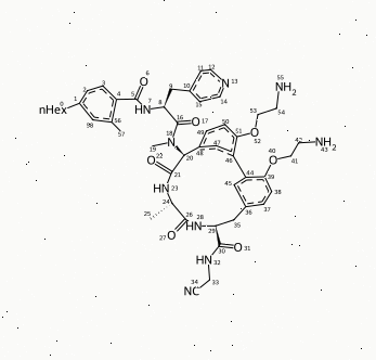 CCCCCCc1ccc(C(=O)N[C@@H](Cc2ccncc2)C(=O)N(C)[C@@H]2C(=O)N[C@@H](C)C(=O)N[C@H](C(=O)NCC#N)Cc3ccc(OCCN)c(c3)-c3cc2ccc3OCCN)c(C)c1